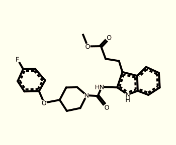 COC(=O)CCc1c(NC(=O)N2CCC(Oc3ccc(F)cc3)CC2)[nH]c2ccccc12